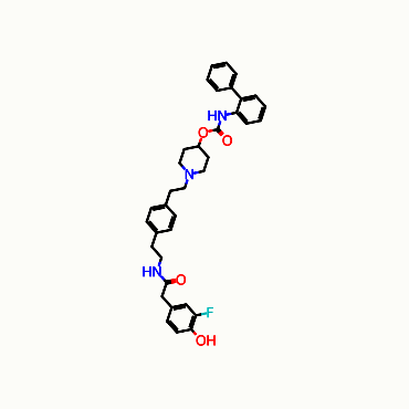 O=C(Cc1ccc(O)c(F)c1)NCCc1ccc(CCN2CCC(OC(=O)Nc3ccccc3-c3ccccc3)CC2)cc1